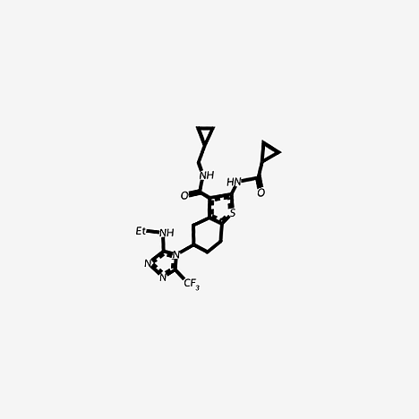 CCNc1nnc(C(F)(F)F)n1C1CCc2sc(NC(=O)C3CC3)c(C(=O)NCC3CC3)c2C1